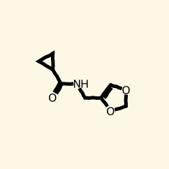 O=C(NCC1=COCO1)C1CC1